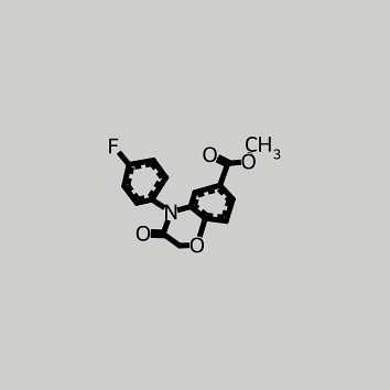 COC(=O)c1ccc2c(c1)N(c1ccc(F)cc1)C(=O)CO2